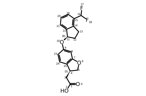 O=C(O)C[C@@H]1COc2cc(O[C@@H]3CCc4c(C(F)F)cccc43)ccc21